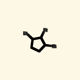 CCC1CCC(CC)C1CC